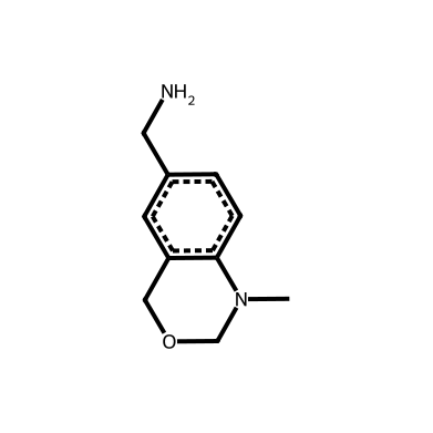 CN1COCc2cc(CN)ccc21